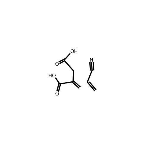 C=C(CC(=O)O)C(=O)O.C=CC#N